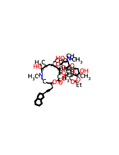 CCC(=O)O[C@@H]1CC(=O)O[C@@H](CC#Cc2ccc3ccccc3c2)CCCN(C)C[C@H](O)[C@H](C)C[C@H](CC=O)[C@H](O[C@@H]2OC(C)[C@@H](O[C@H]3CC(C)(O)[C@@H](OC(=O)CC)C(C)O3)C(N(C)C)C2O)[C@H]1OC